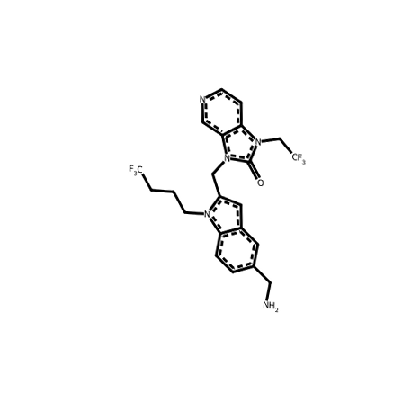 NCc1ccc2c(c1)cc(Cn1c(=O)n(CC(F)(F)F)c3ccncc31)n2CCCC(F)(F)F